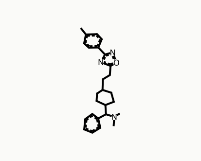 Cc1ccc(-c2noc(CCC3CCC(C(c4ccccc4)N(C)C)CC3)n2)cc1